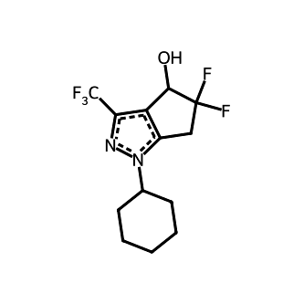 OC1c2c(C(F)(F)F)nn(C3CCCCC3)c2CC1(F)F